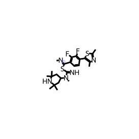 C/N=C(\SC(=N)N(C)C1CC(C)(C)NC(C)(C)C1)c1ccc(-c2sc(C)nc2C)c(F)c1F